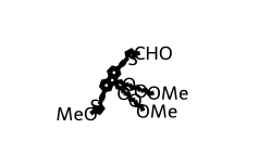 COCCOCCOCCC1(CCOCCOCCOC)c2cc(C#Cc3ccc(C=O)s3)ccc2-c2ccc(C#Cc3ccc(OC)s3)cc21